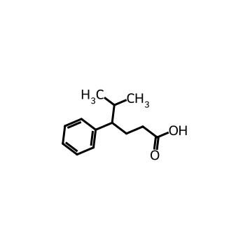 CC(C)C(CCC(=O)O)c1ccccc1